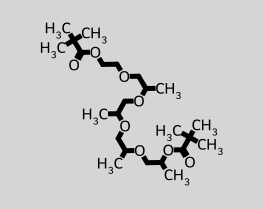 CC(COCCOC(=O)C(C)(C)C)OCC(C)OCC(C)OCC(C)OC(=O)C(C)(C)C